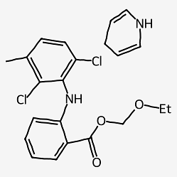 C1=CNC=CC1.CCOCOC(=O)c1ccccc1Nc1c(Cl)ccc(C)c1Cl